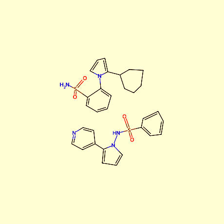 NS(=O)(=O)c1ccccc1-n1cccc1C1CCCCC1.O=S(=O)(Nn1cccc1-c1ccncc1)c1ccccc1